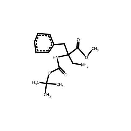 COC(=O)C(CN)(Cc1ccccc1)NC(=O)OC(C)(C)C